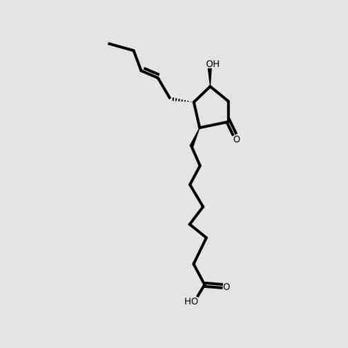 CCC=CC[C@H]1[C@H](CCCCCCCC(=O)O)C(=O)C[C@@H]1O